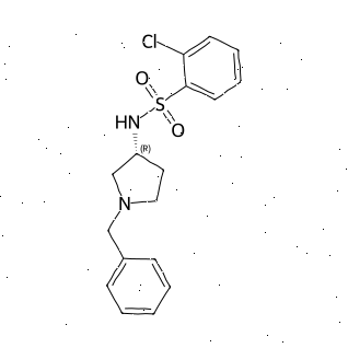 O=S(=O)(N[C@@H]1CCN(Cc2ccccc2)C1)c1ccccc1Cl